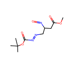 COC(=O)CC(CN=NC(=O)OC(C)(C)C)N=O